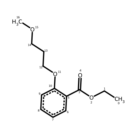 CCOC(=O)c1ccccc1OCCCOC